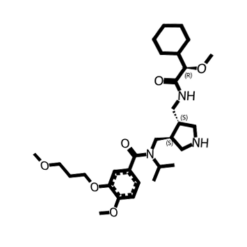 COCCCOc1cc(C(=O)N(C[C@@H]2CNC[C@H]2CNC(=O)[C@H](OC)C2CCCCC2)C(C)C)ccc1OC